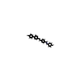 Cc1ccc(-c2ccc(CCc3ccc(/C=C/C4C=CC(C)CC4)cc3)cc2)cc1